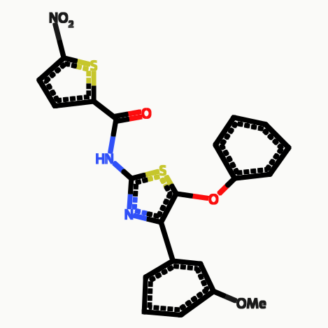 COc1cccc(-c2nc(NC(=O)c3ccc([N+](=O)[O-])s3)sc2Oc2ccccc2)c1